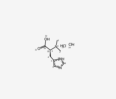 CN(C)[C@@H](Cc1cnc[nH]1)C(=O)O.Cl.Cl